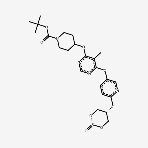 Cc1c(Oc2ccc(C[C@H]3CO[S@@](=O)OC3)nc2)ncnc1OC1CCN(C(=O)OC(C)(C)C)CC1